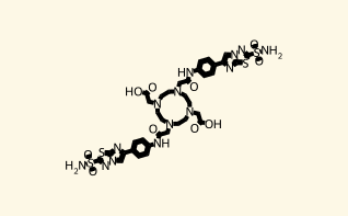 NS(=O)(=O)c1nn2cc(-c3ccc(NC(=O)CN4CCN(CC(=O)O)CCN(CC(=O)Nc5ccc(-c6cn7nc(S(N)(=O)=O)sc7n6)cc5)CCN(CC(=O)O)CC4)cc3)nc2s1